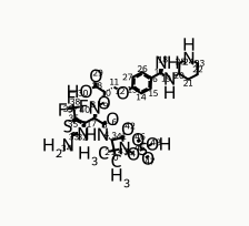 CC1(C)[C@H](NC(=O)/C(=N\O[C@@H](COc2ccc(C(=N)N[C@@H]3CCCNC3)cc2)C(=O)O)c2nc(N)sc2C(F)(F)F)C(=O)N1OS(=O)(=O)O